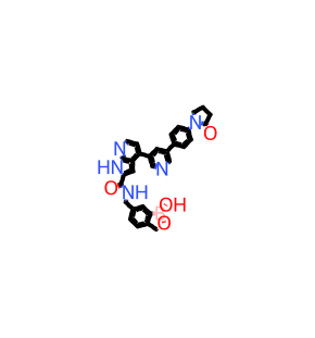 O=C(NCc1ccc2c(c1)B(O)OC2)c1cc2c(-c3cncc(-c4ccc(N5CCCC5=O)cc4)c3)ccnc2[nH]1